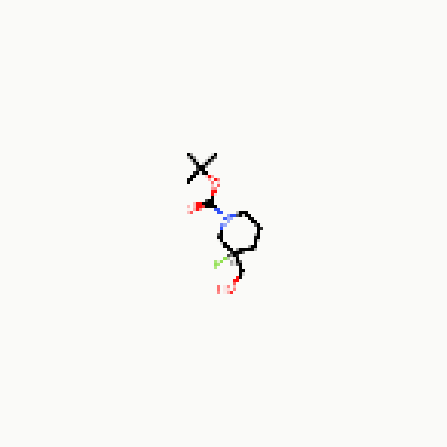 CC(C)(C)OC(=O)N1CCC[C@](F)(CO)C1